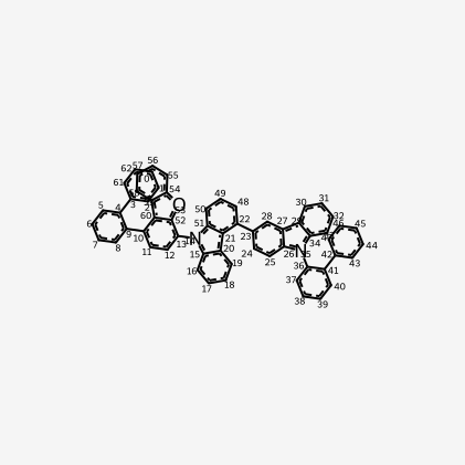 c1ccc(-c2ccccc2-c2ccc(-n3c4ccccc4c4c(-c5ccc6c(c5)c5ccccc5n6-c5ccccc5-c5ccccc5)cccc43)c3oc4ccccc4c23)cc1